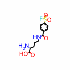 N[C@H](CCCNC(=O)c1ccc(S(=O)(=O)F)cc1)C(=O)O